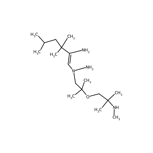 CNC(C)(C)COC(C)(C)CN(N)/C=C(\N)C(C)(C)CC(C)C